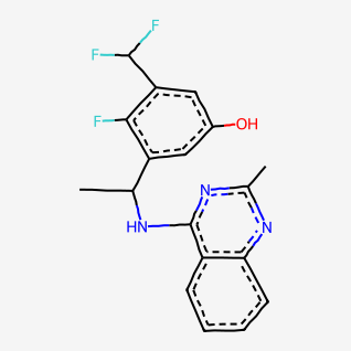 Cc1nc(NC(C)c2cc(O)cc(C(F)F)c2F)c2ccccc2n1